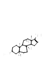 C[C@]12CC[C@H](O)C[C@H]1CC[C@@H]1[C@@H]2CC[C@]2(C)C(N)=CC[C@@H]12